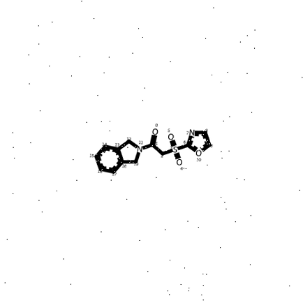 O=C(CS(=O)(=O)c1ncco1)N1Cc2ccccc2C1